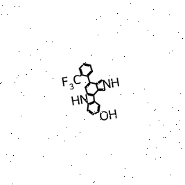 Oc1ccc2[nH]c3cc(-c4ccccc4C(F)(F)F)c4c[nH]cc4c3c2c1